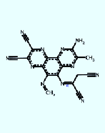 C=Nc1c(/N=C(/C#N)CC#N)c2nc(C)c(N)nc2c2nc(C#N)c(C#N)nc12